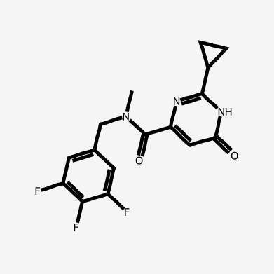 CN(Cc1cc(F)c(F)c(F)c1)C(=O)c1cc(=O)[nH]c(C2CC2)n1